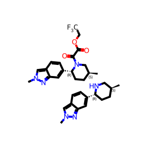 C[C@H]1CC[C@H](c2ccc3cn(C)nc3c2)N(C(=O)C(=O)OCC(F)(F)F)C1.C[C@H]1CC[C@H](c2ccc3cn(C)nc3c2)NC1